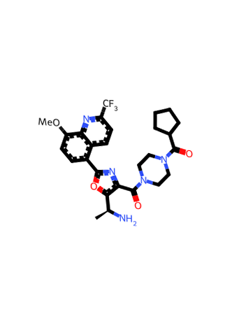 COc1ccc(-c2nc(C(=O)N3CCN(C(=O)C4CCCC4)CC3)c([C@H](C)N)o2)c2ccc(C(F)(F)F)nc12